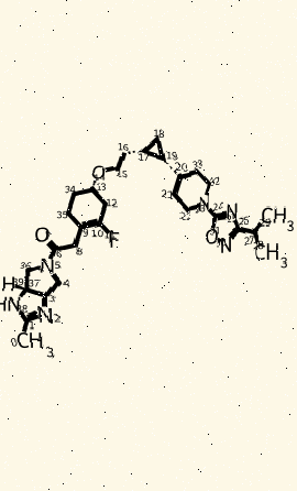 CC1=NC2CN(C(=O)CC3=C(F)C[C@@H](OCC[C@@H]4C[C@@H]4C4CCN(c5nc(C(C)C)no5)CC4)CC3)C[C@H]2N1